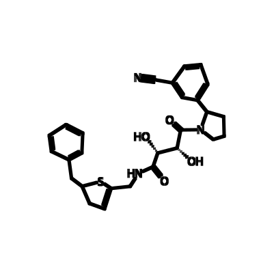 N#Cc1cccc(C2CCCN2C(=O)[C@H](O)[C@@H](O)C(=O)NCC2=CCC(Cc3ccccc3)S2)c1